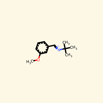 COc1cccc(/C=N/C(C)(C)C)c1